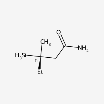 CC[C@](C)([SiH3])CC(N)=O